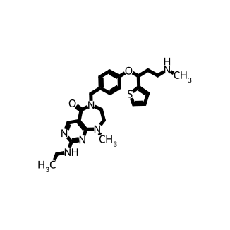 CCNc1ncc2c(n1)N(C)CCN(Cc1ccc(OC(CCNC)c3cccs3)cc1)C2=O